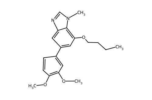 CCCCOc1cc(-c2ccc(OC)c(OC)c2)cc2ncn(C)c12